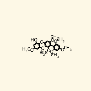 COc1cc(O)c(Oc2cc(OC)c(-c3c(OC)cc(OC)cc3OC)c(OC)c2)c(O)c1